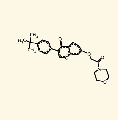 CC(C)(C)c1ccc(-c2coc3cc(OCC(=O)N4CCOCC4)ccc3c2=O)cc1